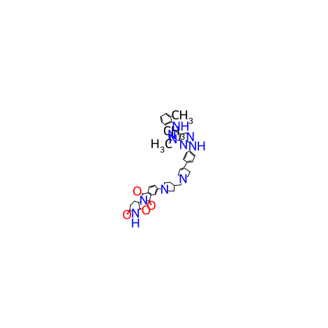 Cc1cccc(C)c1Nc1nn(C)c2nc(Nc3ccc(C4=CCN(CC5CCN(c6ccc7c(c6)C(=O)N(C6CCC(=O)NC6=O)C7=O)CC5)CC4)cc3)ncc12